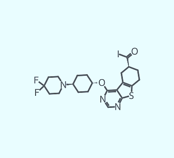 O=C(I)[C@H]1CCc2sc3ncnc(O[C@H]4CC[C@H](N5CCC(F)(F)CC5)CC4)c3c2C1